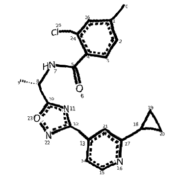 Cc1ccc(C(=O)N[C@@H](C)c2nc(-c3ccnc(C4CC4)c3)no2)c(Cl)c1